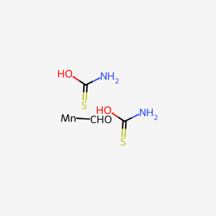 NC(O)=S.NC(O)=S.O=[CH][Mn]